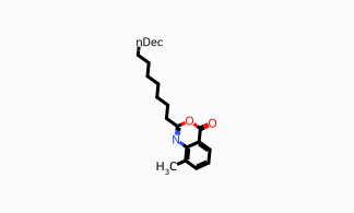 CCCCCCCCCCCCCCCCCc1nc2c(C)cccc2c(=O)o1